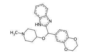 CN1CCC(OC(c2ccc3c(c2)OCCO3)c2nc3ccccc3[nH]2)CC1